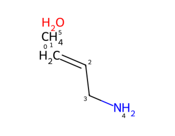 C.C=CCN.O